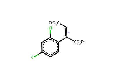 CCOC(=O)/C=C(/C(=O)OCC)c1ccc(Cl)cc1Cl